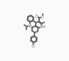 COC(=O)C1=C(C)NC2=C(C(=O)CC(c3ccc(Cl)cc3)C2)C1c1ccccc1OC(C)C